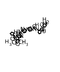 CC(=O)c1c(C)c2cnc(Nc3ccc(N4CCN(C(=O)CNc5cccc6c5CN([C@@H]5CCC(=O)NC5=O)C6=O)CC4)cn3)nc2n(C2CCCC2)c1=O